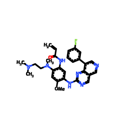 C=CC(=O)Nc1cc(Nc2ncc3cncc(-c4cccc(F)c4)c3n2)c(OC)cc1N(C)CCN(C)C